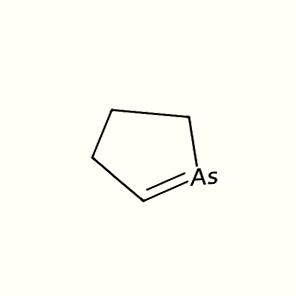 C1=[As]CCC1